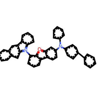 c1ccc(-c2ccc(N(c3ccccc3)c3ccc4c(c3)oc3c(-n5c6ccccc6c6cc7ccccc7cc65)cccc34)cc2)cc1